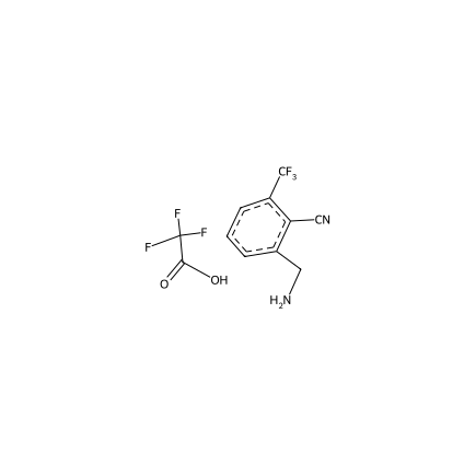 N#Cc1c(CN)cccc1C(F)(F)F.O=C(O)C(F)(F)F